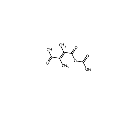 CC(C(=O)O)=C(C)C(=O)OC(=O)O